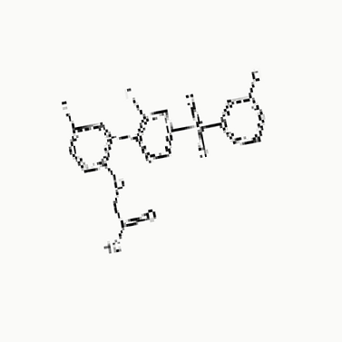 O=C(O)COc1ccc(F)cc1-c1ccc(S(=O)(=O)c2cccc(Cl)c2)cc1F